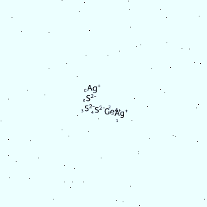 [Ag+].[Ag+].[Ge+4].[S-2].[S-2].[S-2]